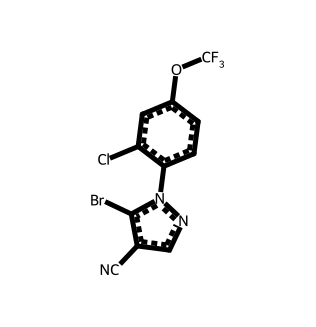 N#Cc1cnn(-c2ccc(OC(F)(F)F)cc2Cl)c1Br